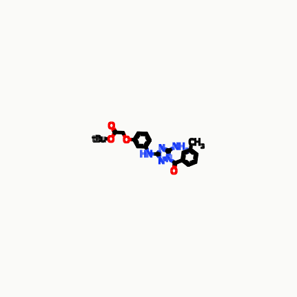 Cc1cccc(C(=O)n2nc(Nc3cccc(OCC(=O)OC(C)(C)C)c3)nc2N)c1